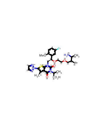 COc1ccc(F)cc1[C@H](Cn1c(=O)n(C(C)C(=O)O)c(=O)c2c(C)c(-n3nccn3)sc21)OCCOCC(C(C)C)C(C)N